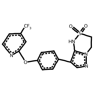 O=S1(=O)CCn2ncc(-c3ccc(Oc4cc(C(F)(F)F)ccn4)cc3)c2N1